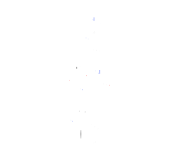 CCCS(=O)(=O)NC(Cc1c[nH]c2ccccc12)C(=O)NCc1ccc(N)nc1